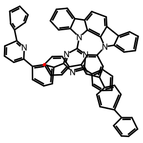 c1ccc(-c2ccc(-c3cc(-c4ccccc4)cc(-n4c5ccccc5c5ccc6c7ccccc7n(-c7nc(-c8ccccc8)nc(-c8cccc(-c9cccc(-c%10ccccc%10)n9)c8)n7)c6c54)c3)cc2)cc1